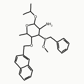 COB(Cc1ccccc1)C1C(N)C(OC(C)C)OC(C)C1OCc1ccc2ccccc2c1